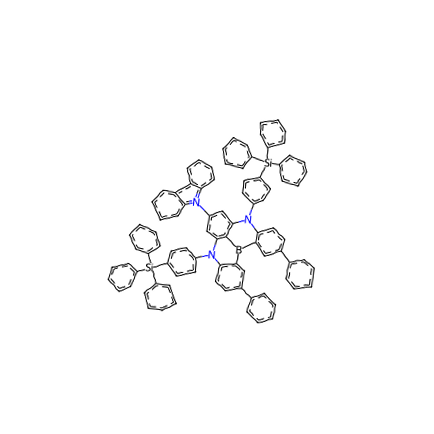 c1ccc(-c2ccc3c(c2)B2c4cc(-c5ccccc5)ccc4N(c4ccc([Si](c5ccccc5)(c5ccccc5)c5ccccc5)cc4)c4cc(-n5c6ccccc6c6ccccc65)cc(c42)N3c2ccc([Si](c3ccccc3)(c3ccccc3)c3ccccc3)cc2)cc1